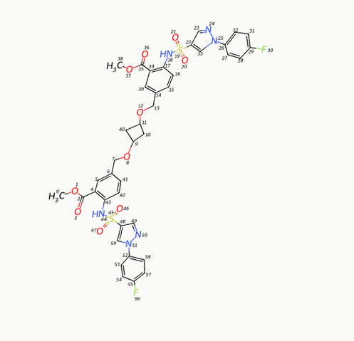 COC(=O)c1cc(COC2CC(OCc3ccc(NS(=O)(=O)c4cnn(-c5ccc(F)cc5)c4)c(C(=O)OC)c3)C2)ccc1NS(=O)(=O)c1cnn(-c2ccc(F)cc2)c1